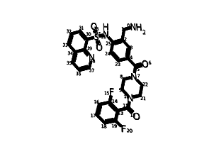 NCc1cc(C(=O)N2CCN(C(=O)c3c(F)cccc3F)CC2)ccc1NS(=O)(=O)c1cccc2cccnc12